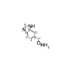 NOCc1ccc2nc[nH]c2c1